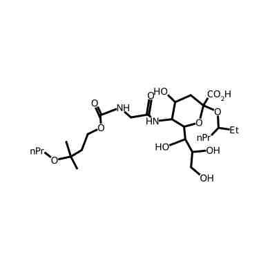 CCCOC(C)(C)CCOC(=O)NCC(=O)NC1C(O)CC(OC(CC)CCC)(C(=O)O)OC1C(O)C(O)CO